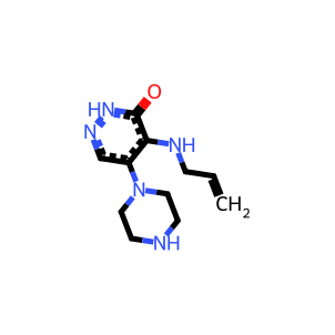 C=CCNc1c(N2CCNCC2)cn[nH]c1=O